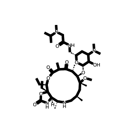 CC[C@H]1OC(=O)C(C)C(=O)[C@H](C)[C@@H](O[C@@H]2O[C@H](CNC(=O)CN(C)C(C)C)CC(N(C)C)C2O)[C@](C)(OC)C[C@@H](C)CN[C@H](C)[C@H]2NC(=O)O[C@@]21CC